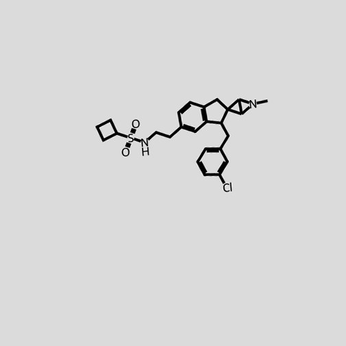 CN1C2C1C21Cc2ccc(CCNS(=O)(=O)C3CCC3)cc2C1Cc1cccc(Cl)c1